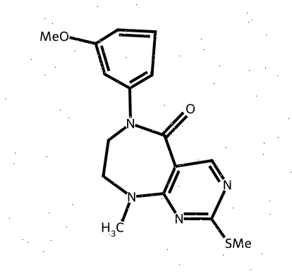 COc1cccc(N2CCN(C)c3nc(SC)ncc3C2=O)c1